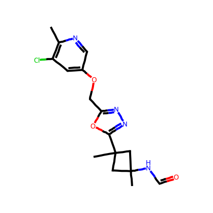 Cc1ncc(OCc2nnc(C3(C)CC(C)(NC=O)C3)o2)cc1Cl